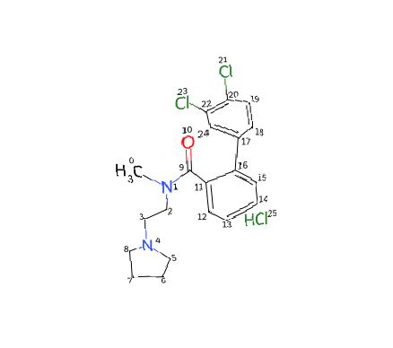 CN(CCN1CCCC1)C(=O)c1ccccc1-c1ccc(Cl)c(Cl)c1.Cl